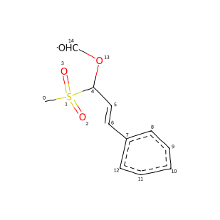 CS(=O)(=O)C(C=Cc1ccccc1)O[C]=O